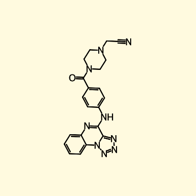 N#CCN1CCN(C(=O)c2ccc(Nc3nc4ccccc4n4nnnc34)cc2)CC1